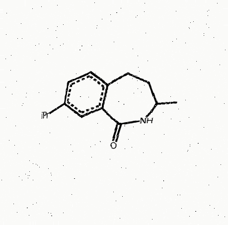 CC1CCc2ccc(C(C)C)cc2C(=O)N1